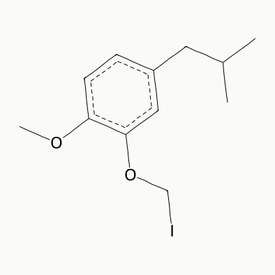 COc1ccc(CC(C)C)cc1OCI